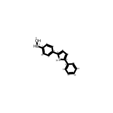 OBc1ccc(-c2ccc(-c3ccccc3)s2)cc1